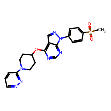 CS(=O)(=O)c1ccc(-n2ncc3c(OC4CCN(c5[c]ccnn5)CC4)ncnc32)cc1